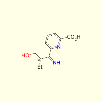 CC[C@H](CO)C(=N)c1cccc(C(=O)O)n1